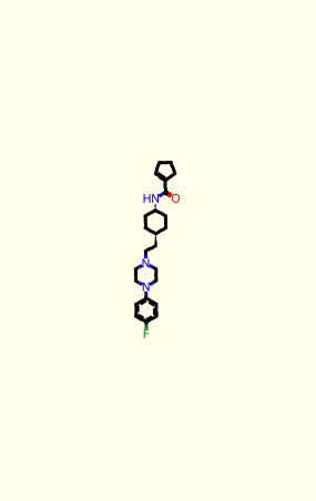 O=C(N[C@H]1CC[C@H](CCN2CCN(c3ccc(F)cc3)CC2)CC1)C1=CCCC1